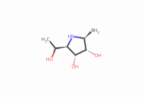 B[C@@H]1N[C@H](C(C)O)[C@@H](O)[C@H]1O